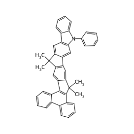 CC1(C)c2cc3c(cc2-c2cc4c(cc21)c1ccccc1n4-c1ccccc1)C(C)(C)c1c-3c2ccccc2c2ccccc12